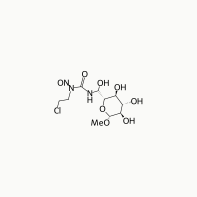 CO[C@@H]1O[C@H](C(O)NC(=O)N(CCCl)N=O)[C@@H](O)[C@H](O)[C@H]1O